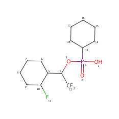 O=P(O)(OC(C1CCCCC1F)C(F)(F)F)C1CCCCC1